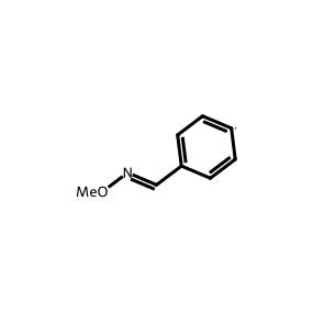 CO/N=C/c1cc[c]cc1